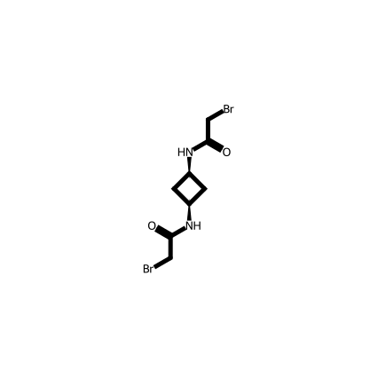 O=C(CBr)N[C@H]1C[C@@H](NC(=O)CBr)C1